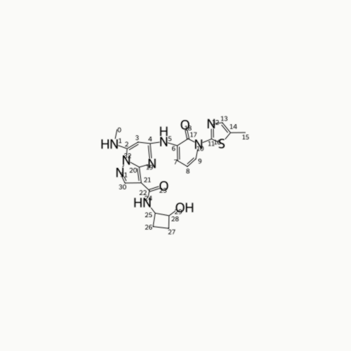 CNc1cc(Nc2cccn(-c3ncc(C)s3)c2=O)nc2c(C(=O)NC3CCC3O)cnn12